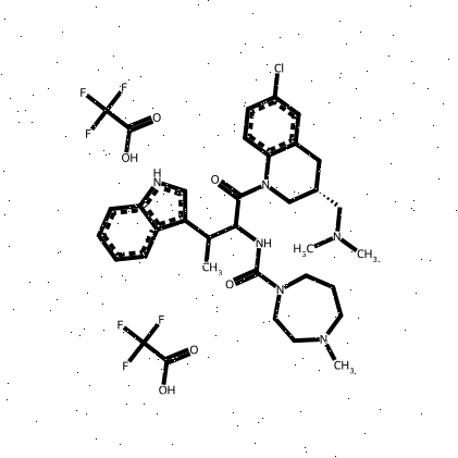 CC(c1c[nH]c2ccccc12)C(NC(=O)N1CCCN(C)CC1)C(=O)N1C[C@@H](CN(C)C)Cc2cc(Cl)ccc21.O=C(O)C(F)(F)F.O=C(O)C(F)(F)F